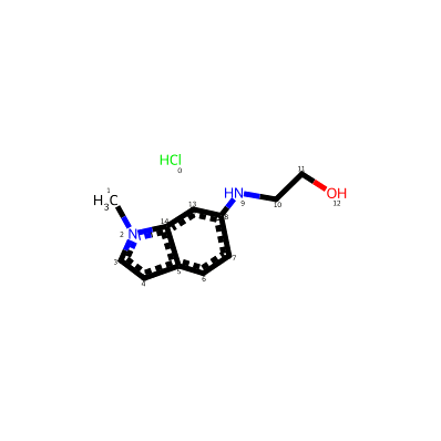 Cl.Cn1ccc2ccc(NCCO)cc21